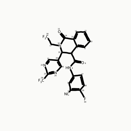 N#Cc1cc(NC(=O)C2c3ccccc3C(=O)N(CC(F)(F)F)C2c2cnc(C(F)(F)F)nc2)ccc1F